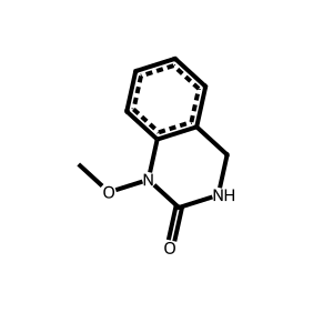 CON1C(=O)NCc2ccccc21